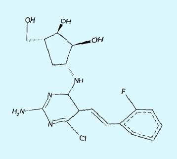 NC1=NC(N[C@@H]2C[C@H](CO)[C@@H](O)[C@H]2O)C(/C=C/c2ccccc2F)C(Cl)=N1